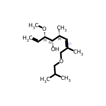 C=C[C@H](OC)[C@@H](O)[C@H](C)/C=C(/C)COCC(C)C